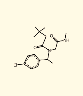 CNC(=O)CN(C(=O)CC(C)(C)C)C(C)c1ccc(Cl)cc1